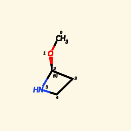 CO[C@H]1CCN1